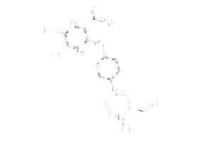 CCc1nc(C(N)=O)c(Nc2ccc(N3CCN(C)[C@H](CO)C3)cc2)nc1Cl